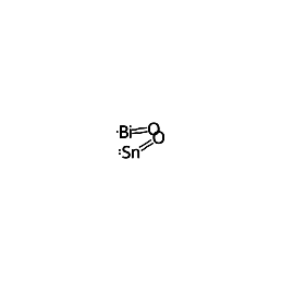 [O]=[Bi].[O]=[Sn]